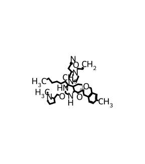 C=CC(=O)N1CCN(C2(C(C)CCCCC)NC(OCC3CCCN3C)NC3C(=O)[C@]4(CCC32)Cc2ccc(C)cc2CO4)CC1CC#N